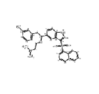 CN(C)CCOC(Cc1cccc(Cl)c1)c1ccc2[nH]nc(S(=O)(=O)c3cccc4ccccc34)c2c1